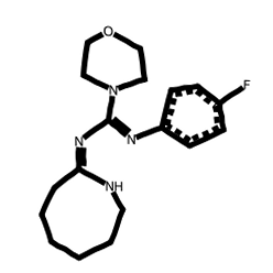 Fc1ccc(N=C(N=C2CCCCCCN2)N2CCOCC2)cc1